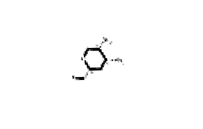 N[C@@H]1C[C@H](CF)OC[C@@H]1N